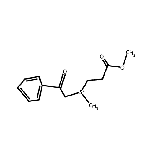 COC(=O)CC[S+](C)CC(=O)c1ccccc1